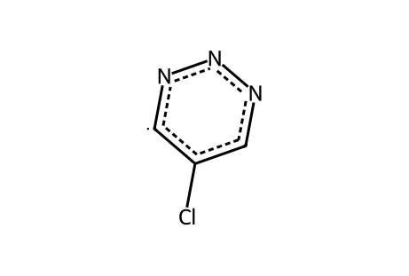 Clc1[c]nnnc1